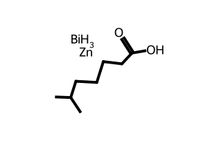 CC(C)CCCCC(=O)O.[BiH3].[Zn]